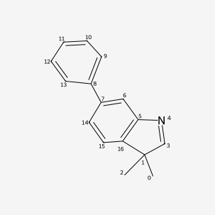 CC1(C)C=Nc2cc(-c3ccccc3)ccc21